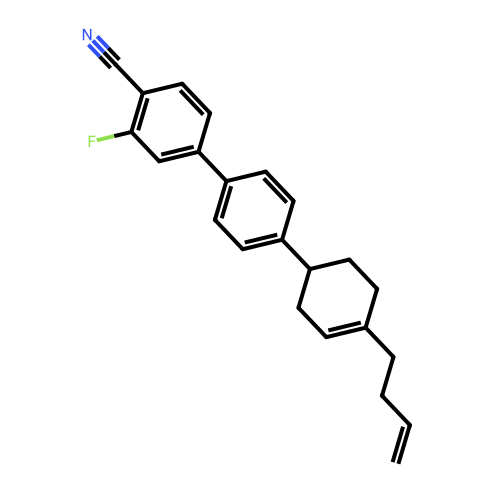 C=CCCC1=CCC(c2ccc(-c3ccc(C#N)c(F)c3)cc2)CC1